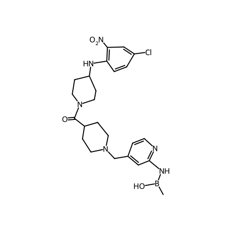 CB(O)Nc1cc(CN2CCC(C(=O)N3CCC(Nc4ccc(Cl)cc4[N+](=O)[O-])CC3)CC2)ccn1